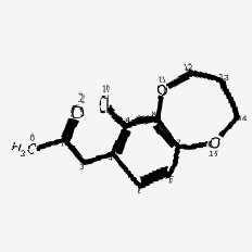 CC(=O)Cc1ccc2c(c1Cl)OCCCO2